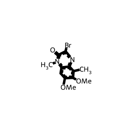 COc1cc2c(nc(Br)c(=O)n2C)c(C)c1OC